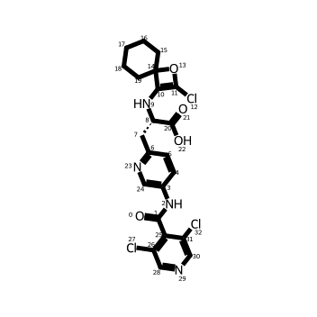 O=C(Nc1ccc(C[C@H](NC2=C(Cl)OC23CCCCC3)C(=O)O)nc1)c1c(Cl)cncc1Cl